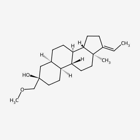 CC=C1CC[C@H]2[C@@H]3CC[C@@H]4C[C@@](O)(COC)CC[C@@H]4[C@H]3CC[C@]12C